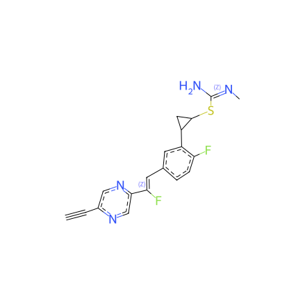 C#Cc1cnc(/C(F)=C/c2ccc(F)c(C3CC3S/C(N)=N\C)c2)cn1